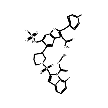 CCS(=O)(=O)Nc1cc2oc(-c3ccc(F)cc3)c(C(=O)NC)c2cc1C1CCCN(S(=O)(=O)c2cc3cccc(F)c3n2C(=O)OC(C)(C)C)C1